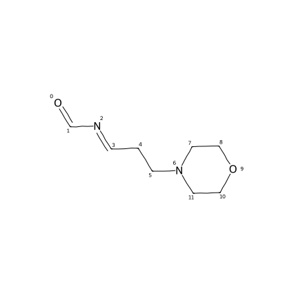 O=CN=CCCN1CCOCC1